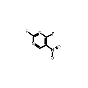 O=[N+]([O-])c1cnc(F)nc1F